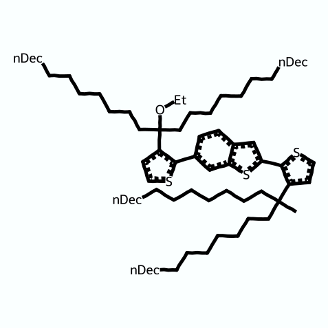 CCCCCCCCCCCCCCCCCC(C)(CCCCCCCCCCCCCCCCC)c1ccsc1-c1cc2ccc(-c3sccc3C(CCCCCCCCCCCCCCCCC)(CCCCCCCCCCCCCCCCC)OCC)cc2s1